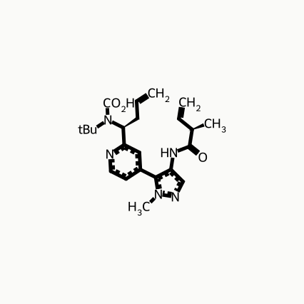 C=CC[C@@H](c1cc(-c2c(NC(=O)[C@H](C)C=C)cnn2C)ccn1)N(C(=O)O)C(C)(C)C